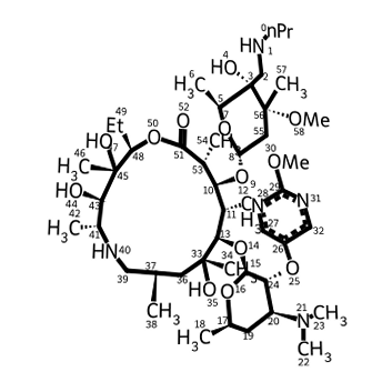 CCCNC[C@]1(O)[C@H](C)O[C@@H](O[C@H]2[C@H](C)[C@@H](O[C@@H]3O[C@H](C)C[C@H](N(C)C)[C@H]3Oc3cnc(OC)nc3)[C@](C)(O)C[C@@H](C)CN[C@H](C)[C@@H](O)[C@](C)(O)[C@@H](CC)OC(=O)[C@@H]2C)C[C@@]1(C)OC